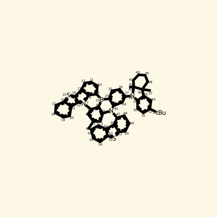 Cc1cc2c3c(c1)-n1c4c(cccc4c4sc5ccccc5c41)B3c1ccc(N3c4ccc(C(C)(C)C)cc4C4(C)CCCCC34C)cc1N2c1cccc2sc3ccccc3c12